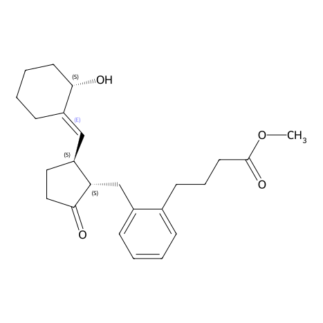 COC(=O)CCCc1ccccc1C[C@@H]1C(=O)CC[C@H]1/C=C1\CCCC[C@@H]1O